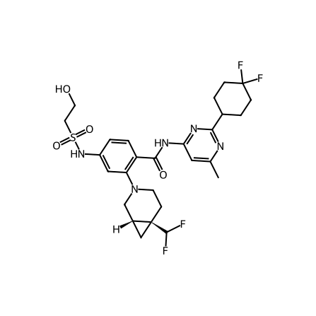 Cc1cc(NC(=O)c2ccc(NS(=O)(=O)CCO)cc2N2CC[C@]3(C(F)F)C[C@@H]3C2)nc(C2CCC(F)(F)CC2)n1